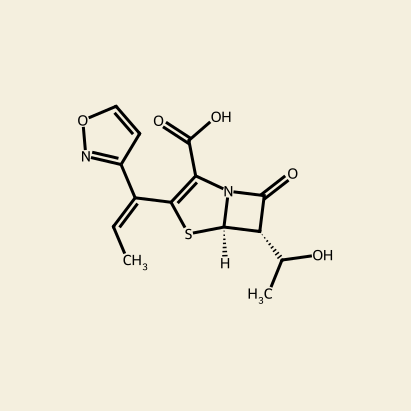 C/C=C(\C1=C(C(=O)O)N2C(=O)[C@H](C(C)O)[C@H]2S1)c1ccon1